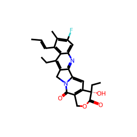 C/C=C/c1c(C)c(F)cc2nc3c(c(CC)c12)Cn1c-3cc2c(c1=O)COC(=O)[C@]2(O)CC